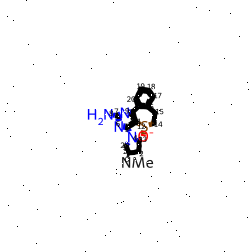 CN[C@@H]1CCN(c2nc(N)nc3c2[S+]([O-])CCc2ccccc2-3)C1